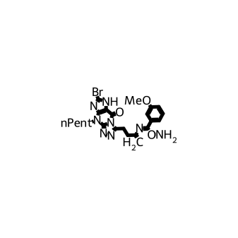 C=C(CCc1nnc2n(CCCCC)c3nc(Br)[nH]c3c(=O)n12)/N=C(\ON)c1cccc(OC)c1